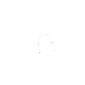 COC12CC(C)(C)C(O1)C(O)C=C2C